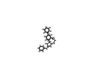 c1ccc(CN2CC3CCOc4cc(-c5ccccc5)ccc4C3C2)cc1